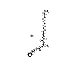 C=C(COC(=O)NCCCCCCCCCCCCCCCCCC)COC(=O)NCCCC[n+]1ccccc1.[Br-]